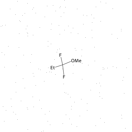 CCC(F)(F)OC